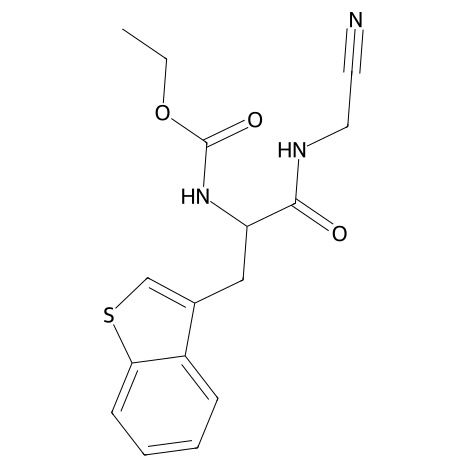 CCOC(=O)NC(Cc1csc2ccccc12)C(=O)NCC#N